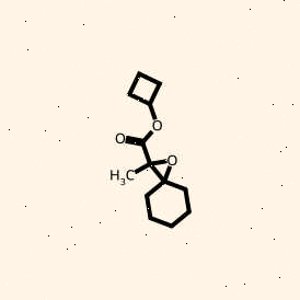 CC1(C(=O)OC2CCC2)OC12CCCCC2